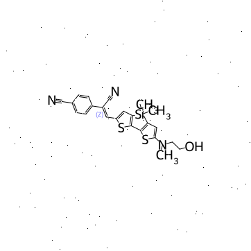 CN(CCO)c1cc2c(s1)-c1sc(/C=C(\C#N)c3ccc(C#N)cc3)cc1[Si]2(C)C